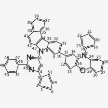 c1ccc(-c2cc(-n3c4cc(-c5ccc6c(c5)N(c5ccccc5)c5ccccc5O6)ccc4c4c5ccccc5ccc43)nc(-c3ccccc3)n2)cc1